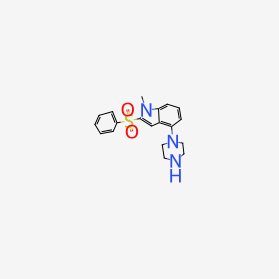 Cn1c(S(=O)(=O)c2ccccc2)cc2c(N3CCNCC3)cccc21